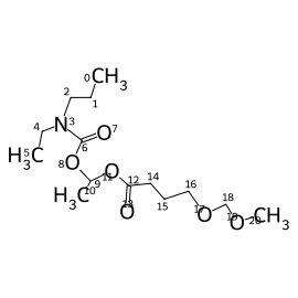 CCCN(CC)C(=O)OC(C)OC(=O)CCCOCOC